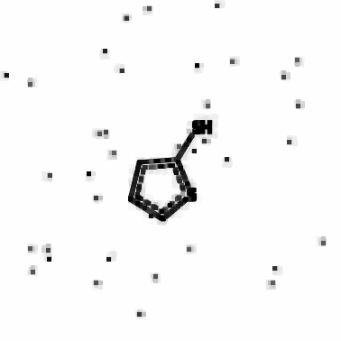 Sc1cccs1